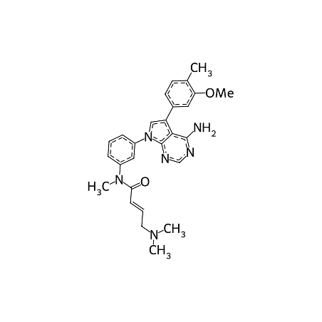 COc1cc(-c2cn(-c3cccc(N(C)C(=O)/C=C/CN(C)C)c3)c3ncnc(N)c23)ccc1C